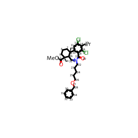 COC(=O)[C@]1(C)CCC[C@]2(C)c3cc(Cl)c(C(C)C)c(Cl)c3C(=O)N(CCCCCOCc3ccccc3)CC12